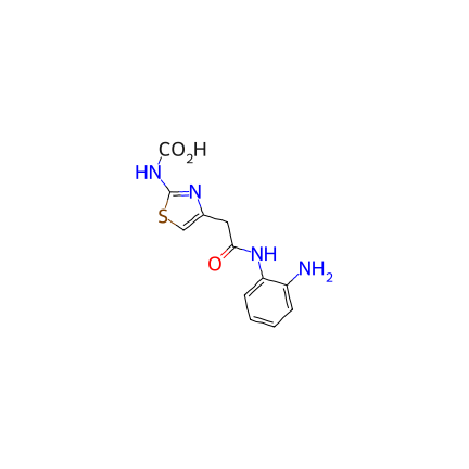 Nc1ccccc1NC(=O)Cc1csc(NC(=O)O)n1